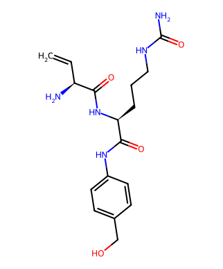 C=C[C@H](N)C(=O)N[C@@H](CCCNC(N)=O)C(=O)Nc1ccc(CO)cc1